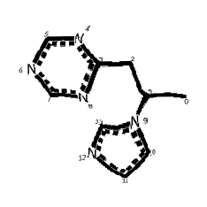 CC(Cc1ncncn1)n1ccnc1